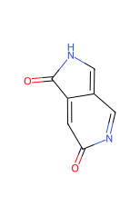 O=C1C=C2C(=O)NC=C2C=N1